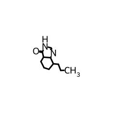 CCCC1CCCC2C(=O)NC=NC12